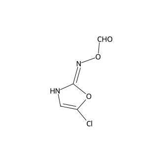 O=CON=c1[nH]cc(Cl)o1